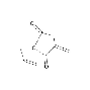 C=C1CC(=O)OC1=O.C=CC